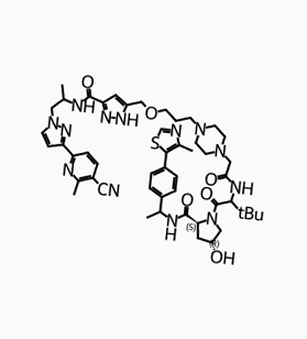 Cc1nc(-c2ccn(CC(C)NC(=O)c3cc(COCCCN4CCN(CC(=O)NC(C(=O)N5C[C@H](O)C[C@H]5C(=O)NC(C)c5ccc(-c6scnc6C)cc5)C(C)(C)C)CC4)[nH]n3)n2)ccc1C#N